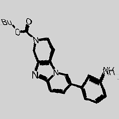 CC(C)(C)OC(=O)N1CCc2c(nc3ccc(-c4cccc(N)c4)cn23)C1